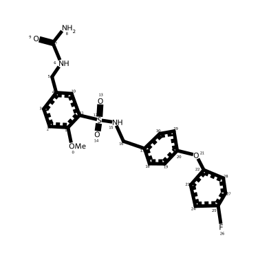 COc1ccc(CNC(N)=O)cc1S(=O)(=O)NCc1ccc(Oc2ccc(F)cc2)cc1